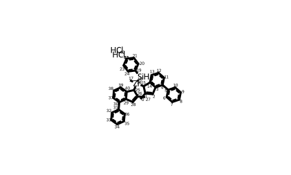 CC1=Cc2c(-c3ccccc3)cccc2[CH]1[Zr]([CH3])([SiH2]c1ccccc1)[CH]1C(C)=Cc2c(-c3ccccc3)cccc21.Cl.Cl